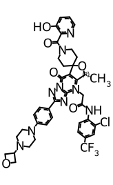 C[C@H]1OC2(CCN(C(=O)c3ncccc3O)CC2)c2c1n(CC(=O)Nc1ccc(C(F)(F)F)cc1Cl)c1nc(-c3ccc(N4CCN(C5COC5)CC4)cc3)nn1c2=O